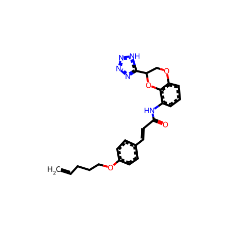 C=CCCCOc1ccc(C=CC(=O)Nc2cccc3c2OC(c2nnn[nH]2)CO3)cc1